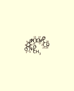 CC(=O)N1CCOc2ccc(SN3CC4=C(C3)CN(C(=O)C3CCCOC3)C4)cc21